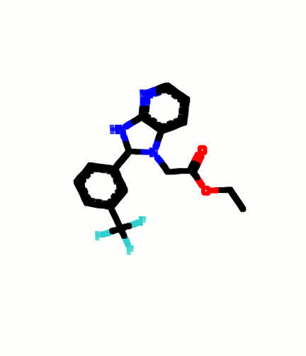 CCOC(=O)CN1c2cccnc2NC1c1cccc(C(F)(F)F)c1